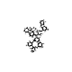 CC1(C)c2ccccc2-c2ccc(N(c3ccc(-c4cccc5c4sc4ccccc45)cc3)c3ccc4c(c3)Cc3ccccc3-c3ccccc3Cc3ccccc3-4)cc21